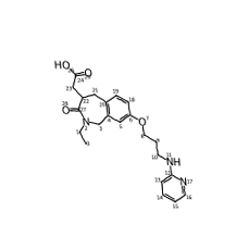 CCN1Cc2cc(OCCCNc3ccccn3)ccc2CC(CC(=O)O)C1=O